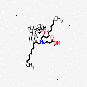 CCCCCCCCC(C)CN(CCCC(=O)O)CC(CCCCCCCC)O[Si](C)(C)C(C)(C)C